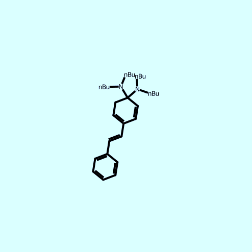 CCCCN(CCCC)C1(N(CCCC)CCCC)C=CC(C=Cc2ccccc2)=CC1